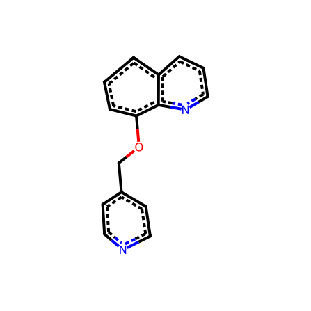 c1cnc2c(OCc3ccncc3)cccc2c1